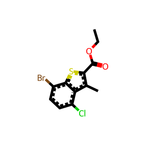 CCOC(=O)c1sc2c(Br)ccc(Cl)c2c1C